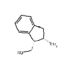 C[C@H]1Cc2ccccc2[C@H]1CO